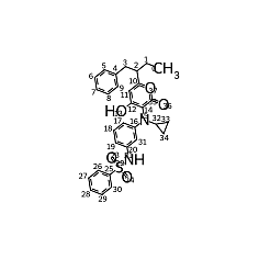 CCC(Cc1ccccc1)c1cc(O)c(N(c2cccc(NS(=O)(=O)c3ccccc3)c2)C2CC2)c(=O)o1